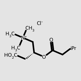 CC(C)CC(=O)O[C@H](CC(=O)O)C[N+](C)(C)C.[Cl-]